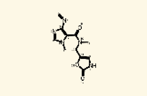 C=Nc1ncn(C)c1C(=O)N(C)Cc1c[nH]c(=O)o1